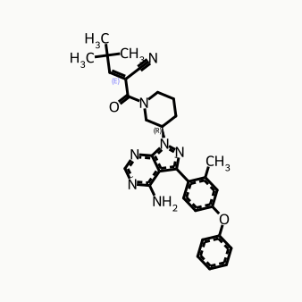 Cc1cc(Oc2ccccc2)ccc1-c1nn([C@@H]2CCCN(C(=O)/C(C#N)=C/C(C)(C)C)C2)c2ncnc(N)c12